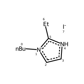 CCCC[n+]1cc[nH]c1CC.[I-]